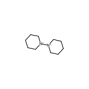 C1CC[N+]([N+]2CCCCC2)CC1